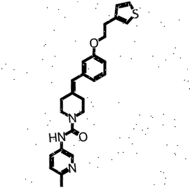 Cc1ccc(NC(=O)N2CCC(=Cc3cccc(OCCc4ccsc4)c3)CC2)cn1